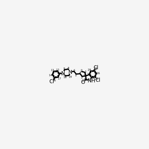 CCC1(CCCCN2CCN(c3cccc(Cl)c3)CC2)C(=O)Nc2c(Cl)cc(Cl)cc21